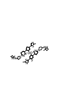 Cc1ncc(-c2ccc(-c3ccc(N4CC[C@@H](NC5(C)CCC5)C4)nn3)c(OOc3cc(-c4cnc(C)s4)c(F)cc3-c3ccc(N4CCC(NC5(C)CCC5)C4)nn3)c2)s1